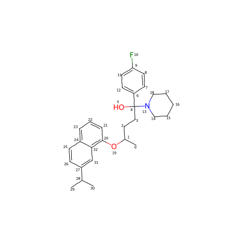 CC(CCC(O)(c1ccc(F)cc1)N1CCCCC1)Oc1cccc2ccc(C(C)C)cc12